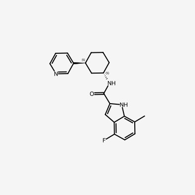 Cc1ccc(F)c2cc(C(=O)N[C@H]3CCC[C@H](c4cccnc4)C3)[nH]c12